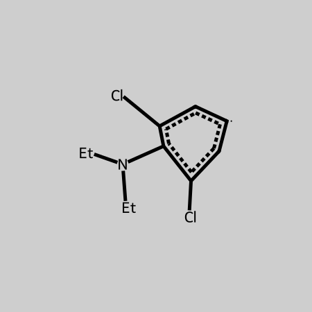 CCN(CC)c1c(Cl)c[c]cc1Cl